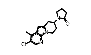 Cc1c(Cl)cnc2c1cc1n2CCC(N2CCCC2=O)C1